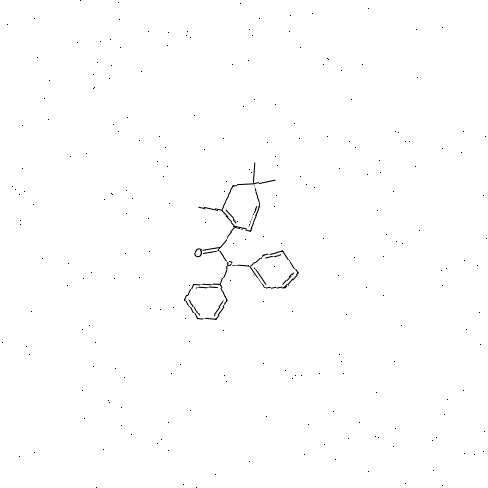 CC1=C(C(=O)P(c2ccccc2)c2ccccc2)C=CC(C)(C)C1